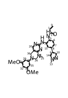 C=CC(=O)Nc1ccc(-c2cnn(C)c2)cc1Nc1ncc2c(n1)N(C)CN(c1cc(OC)cc(OC)c1)C2